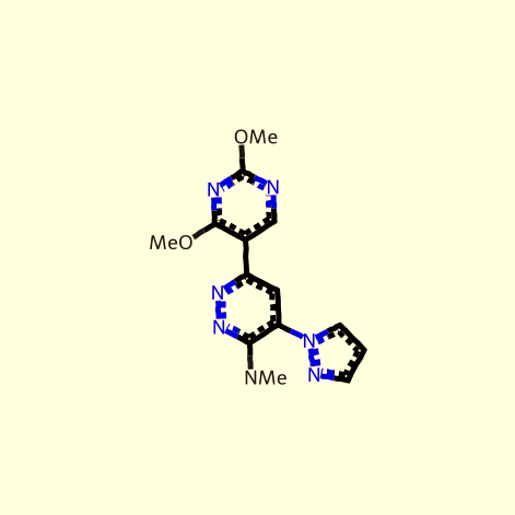 CNc1nnc(-c2cnc(OC)nc2OC)cc1-n1cccn1